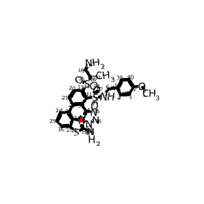 COc1ccc(CNS(=O)(=O)c2c(S(=O)(=O)[C@@H](C)CN)ccc(-c3cccc4sc(N)nc34)c2-c2nn[nH]n2)cc1